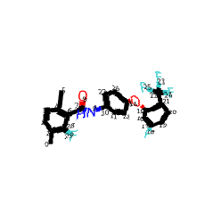 Cc1ccc(C)c(C(=O)Nc2ccc(Oc3cc(F)ccc3C(F)(F)F)cc2)c1F